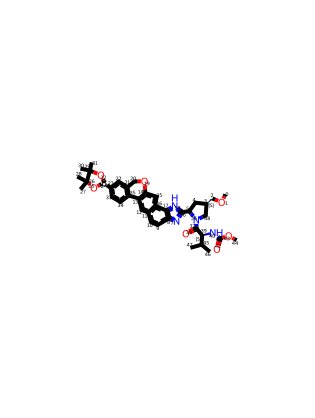 COC[C@H]1CC(c2nc3ccc4cc5c(cc4c3[nH]2)OCc2cc(B3OC(C)(C)C(C)(C)O3)ccc2-5)N(C(=O)[C@@H](NC(=O)OC)C(C)C)C1